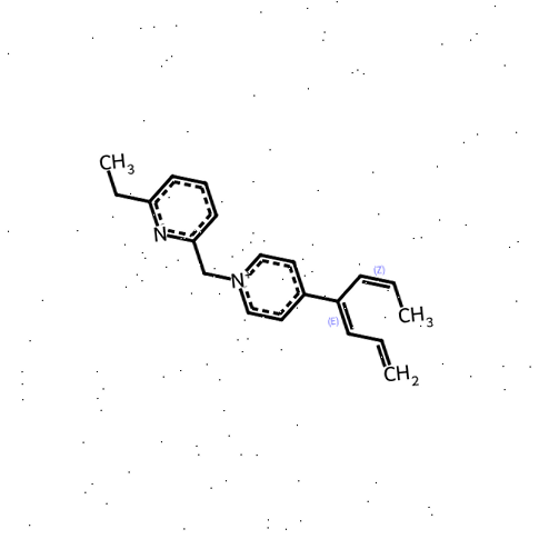 C=C/C=C(\C=C/C)c1cc[n+](Cc2cccc(CC)n2)cc1